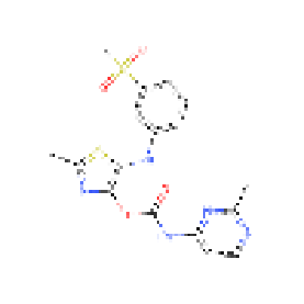 Cc1nccc(NC(=O)Oc2nc(C)sc2Nc2cccc(S(C)(=O)=O)c2)n1